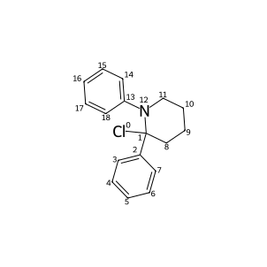 ClC1(c2ccccc2)CCCCN1c1ccccc1